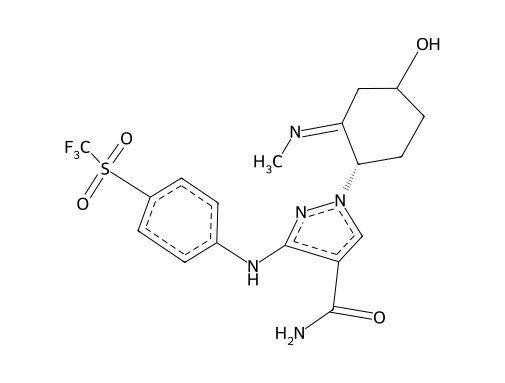 C/N=C1/CC(O)CC[C@@H]1n1cc(C(N)=O)c(Nc2ccc(S(=O)(=O)C(F)(F)F)cc2)n1